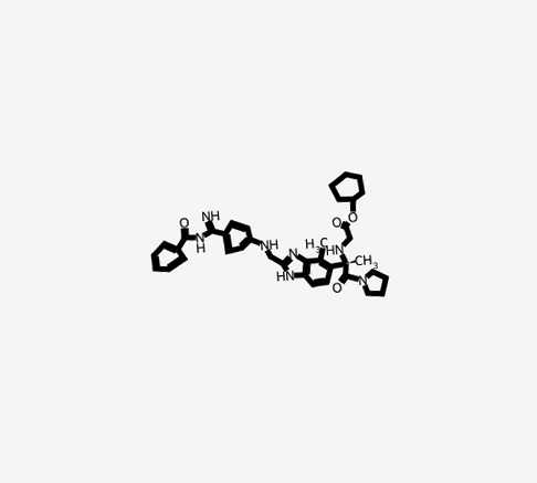 Cc1c([C@@](C)(NCC(=O)OC2CCCCC2)C(=O)N2CCCC2)ccc2[nH]c(CNc3ccc(C(=N)NC(=O)c4ccccc4)cc3)nc12